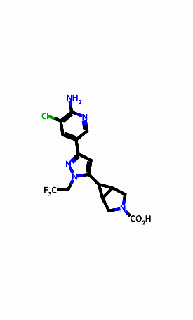 Nc1ncc(-c2cc(C3C4CN(C(=O)O)CC43)n(CC(F)(F)F)n2)cc1Cl